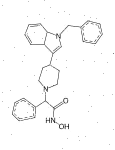 O=C(NO)C(c1ccccc1)N1CCC(C2=CN(Cc3ccccc3)C3C=CC=CC23)CC1